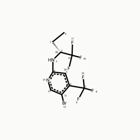 CC[C@@H](Nc1cc(C(F)(F)F)c(Br)cn1)C(F)(F)F